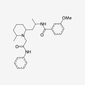 COc1cccc(C(=O)NC(C)CC2CCCC(C)N2CC(=O)Nc2ccccc2)c1